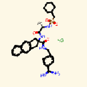 CC(C)[C@@H](NS(=O)(=O)CC1CCCCC1)C(=O)NC1(C(=O)NCc2ccc(C(=N)N)cc2)Cc2cc3ccccc3cc2C1.Cl